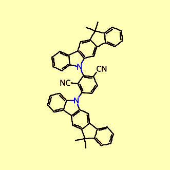 CC1(C)c2ccccc2-c2cc3c(cc21)c1ccccc1n3-c1ccc(C#N)c(-n2c3ccccc3c3cc4c(cc32)-c2ccccc2C4(C)C)c1C#N